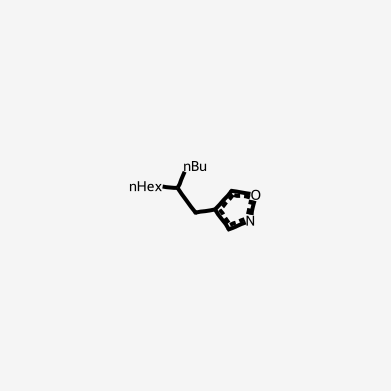 CCCCCCC(CCCC)Cc1cnoc1